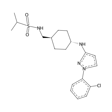 CC(C)S(=O)(=O)NC[C@H]1CC[C@H](Nc2ccn(-c3ccccc3Cl)n2)CC1